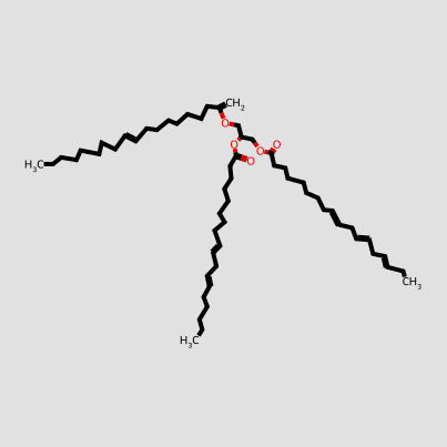 C=C(CCCCCCC/C=C/CCCCCCCC)OCC(COC(=O)CCCCCCC/C=C/C/C=C/C/C=C/CC)OC(=O)CCCCCCC/C=C/C/C=C/CCCCC